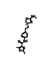 Cc1nc(C(=O)Nc2ccc(CC[C@H]3COC(N)=N3)cc2)c(C)o1